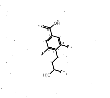 CC(C)CCc1c(F)cc(C(=O)O)cc1F